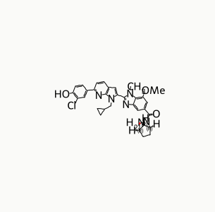 COc1cc(C(=O)N2C[C@H]3CC[C@@H]2[C@@H]3N)cc2nc(-c3cc4ccc(-c5ccc(O)c(Cl)c5)nc4n3CC3CC3)n(C)c12